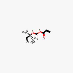 C=CC(=O)OCO[Si](CCCCCCCC)(OC)OC